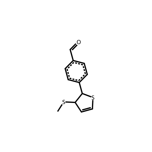 CSC1C=CSC1c1ccc(C=O)cc1